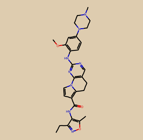 CCc1noc(C)c1NC(=O)c1ccn2c1CCc1cnc(Nc3ccc(N4CCN(C)CC4)cc3OC)nc1-2